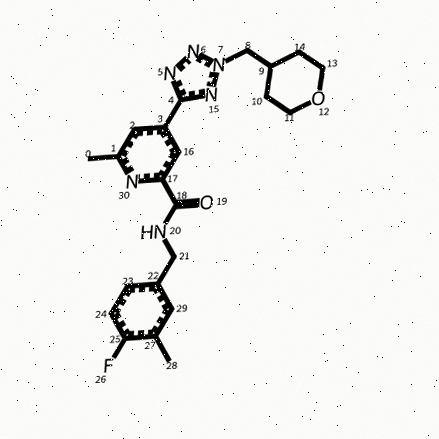 Cc1cc(-c2nnn(CC3CCOCC3)n2)cc(C(=O)NCc2ccc(F)c(C)c2)n1